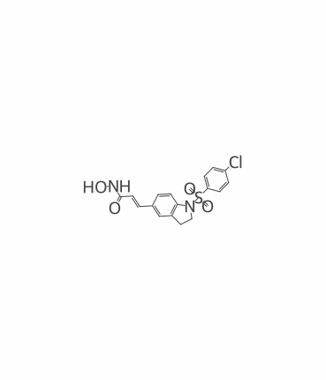 O=C(C=Cc1ccc2c(c1)CCN2S(=O)(=O)c1ccc(Cl)cc1)NO